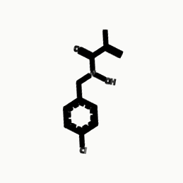 C=C(C)C(=O)N(O)Cc1ccc(Cl)cc1